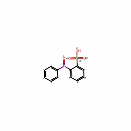 O=[P](c1ccccc1)c1ccccc1S(=O)(=O)O